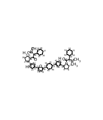 CN(C)[C@@H](C(=O)N1CCC[C@H]1c1nc(-c2ccc(-c3cnc(-c4c[nH]c([C@@H]5CCCN5C(=O)[C@@H](c5ccccc5)N(C)C)n4)o3)cc2)c[nH]1)c1ccccc1